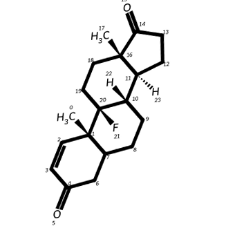 C[C@]12C=CC(=O)CC1CC[C@H]1[C@@H]3CCC(=O)[C@@]3(C)CC[C@]12F